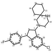 Fc1ccc(C2CC(N3CCNC4(CCCCC4)C3)c3cc(Cl)ccc32)cc1